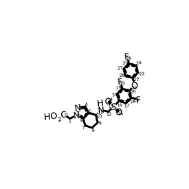 O=C(O)Cn1ncc2c1CCC[C@H]2NCS(=O)(=O)c1cc(F)c(Oc2ccc(F)cc2)c(F)c1